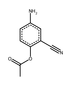 CC(=O)Oc1ccc(N)cc1C#N